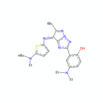 CCCCN(CC)c1ccc(/N=C2/C(C(C)(C)C)=Nn3nc(-c4cc(N(CC)CC)ccc4O)nc32)s1